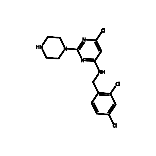 Clc1ccc(CNc2cc(Cl)nc(N3CCNCC3)n2)c(Cl)c1